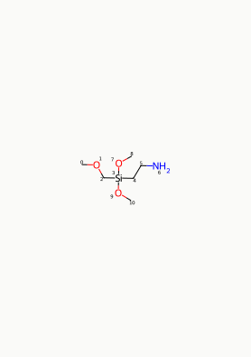 COC[Si](CCN)(OC)OC